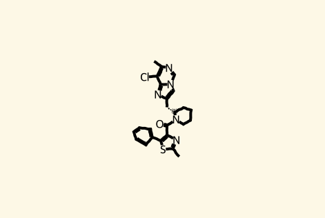 Cc1nc(C(=O)N2CCCC[C@H]2Cc2cn3cnc(C)c(Cl)c3n2)c(-c2ccccc2)s1